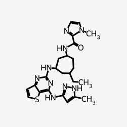 CCC1CCC(NC(=O)c2nccn2C)CC(Nc2nc(Nc3cc(C)[nH]n3)c3sccc3n2)C1